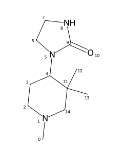 CN1CCC(N2CCNC2=O)C(C)(C)C1